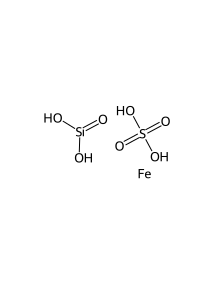 O=S(=O)(O)O.O=[Si](O)O.[Fe]